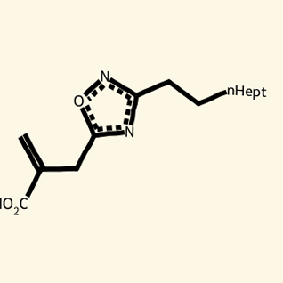 C=C(Cc1nc(CCCCCCCCC)no1)C(=O)O